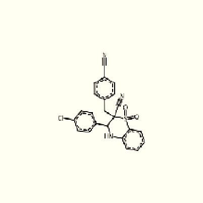 N#Cc1ccc(CC2(C#N)C(c3ccc(Cl)cc3)Nc3ccccc3S2(=O)=O)cc1